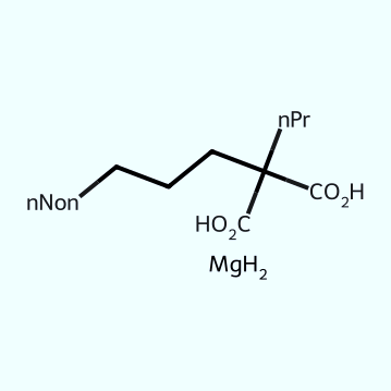 CCCCCCCCCCCCC(CCC)(C(=O)O)C(=O)O.[MgH2]